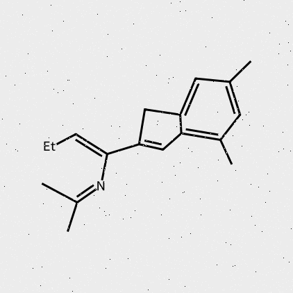 CC/C=C(\N=C(C)C)C1=Cc2c(C)cc(C)cc2C1